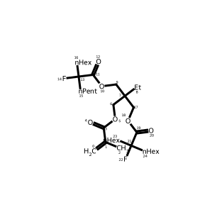 C=C(C)C(=O)OCC(CC)(COC(=O)C(F)(CCCCC)CCCCCC)COC(=O)C(F)(CCCCCC)CCCCCC